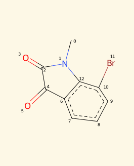 CN1C(=O)C(=O)c2cccc(Br)c21